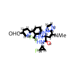 CNC1=CC(Nc2cccc(-c3ccc(C=O)cn3)c2C(F)F)(C(=O)N[C@@H]2C[C@@H]2F)Nn2ccnc21